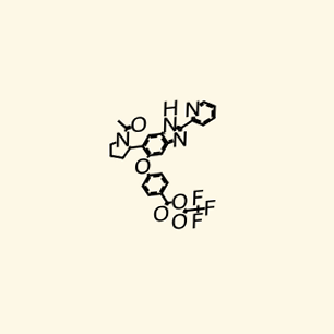 CC(=O)N1CCCC1c1cc2[nH]c(-c3ccccn3)nc2cc1Oc1ccc(C(=O)OC(=O)C(F)(F)F)cc1